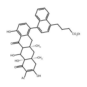 CCOC(=O)CCCc1ccc(-c2ccc(O)c3c2C[C@@]2(C)C[C@@]4(C)CC(O)=C(C(C)=O)C(=O)[C@@]4(O)C(O)C2C3=O)c2ccccc12